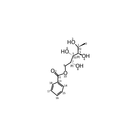 C[C@H](O)[C@@H](O)[C@@H](O)[C@H](O)COC(=O)c1ccccc1